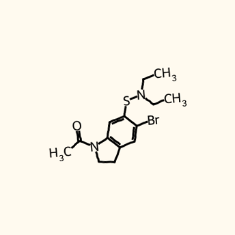 CCN(CC)Sc1cc2c(cc1Br)CCN2C(C)=O